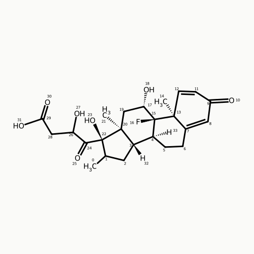 CC1C[C@H]2[C@@H]3CCC4=CC(=O)C=C[C@]4(C)[C@@]3(F)[C@@H](O)C[C@]2(C)[C@@]1(O)C(=O)C(O)CC(=O)O